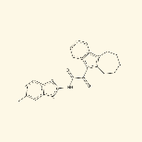 Cc1ccc2nc(NC(=O)C(=O)c3c4n(c5ccccc35)CCNCC4)sc2c1